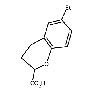 CCc1ccc2c(c1)CCC(C(=O)O)O2